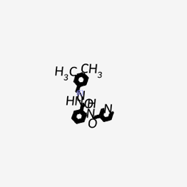 Cc1ccc(/C=N/NC(=O)c2ccccc2NC(=O)c2cccnc2)cc1C